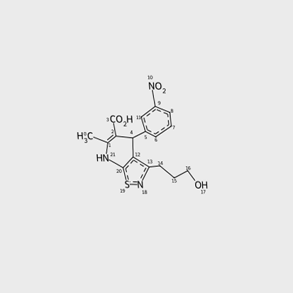 CC1=C(C(=O)O)C(c2cccc([N+](=O)[O-])c2)c2c(CCCO)nsc2N1